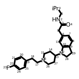 CC(C)CNC(=O)Cc1ccc2c(c1)N(C1CCN(CCc3ccc(F)cc3)CC1)CC2